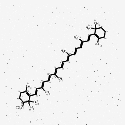 CC1=C(/C=C/C(C)=C/C=C/C(C)=C/C=C/C=C(C)/C=C/C=C(C)/C=C/C2=C(C)CCC(C(=O)O)C2(C)C)C(C)(C)CCC1